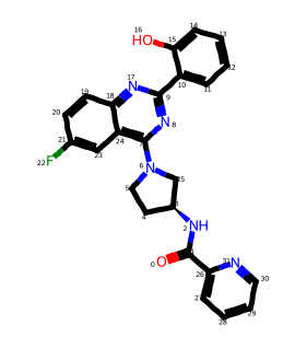 O=C(N[C@H]1CCN(c2nc(-c3ccccc3O)nc3ccc(F)cc23)C1)c1ccccn1